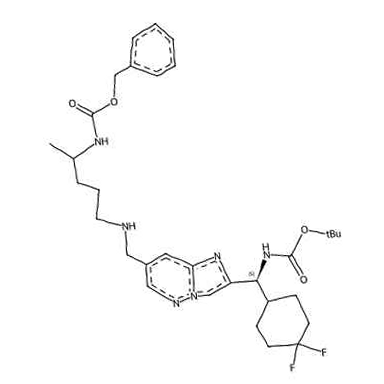 CC(CCCNCc1cnn2cc([C@@H](NC(=O)OC(C)(C)C)C3CCC(F)(F)CC3)nc2c1)NC(=O)OCc1ccccc1